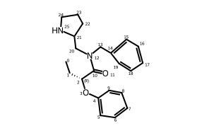 CC[C@@H](Oc1ccccc1)C(=O)N(Cc1ccccc1)CC1CCCN1